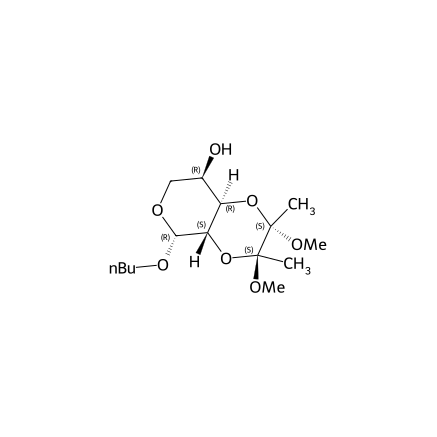 CCCCO[C@@H]1OC[C@@H](O)[C@H]2O[C@](C)(OC)[C@@](C)(OC)O[C@H]12